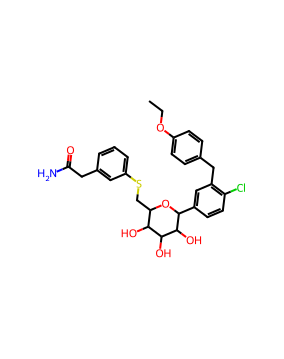 CCOc1ccc(Cc2cc(C3OC(CSc4cccc(CC(N)=O)c4)C(O)C(O)C3O)ccc2Cl)cc1